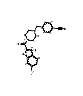 N#Cc1ccc(CN2CCN(C(=O)c3nc4cc(Br)ccc4[nH]3)CC2)cc1